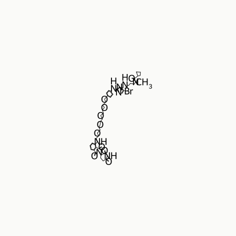 CN(CCCNc1nc(Nc2ccc(OCCOCCOCCOCCOCCNc3cccc4c3C(=O)N(C3CCC(=O)NC3=O)C4=O)cc2)ncc1Br)C(=O)C1CCC1